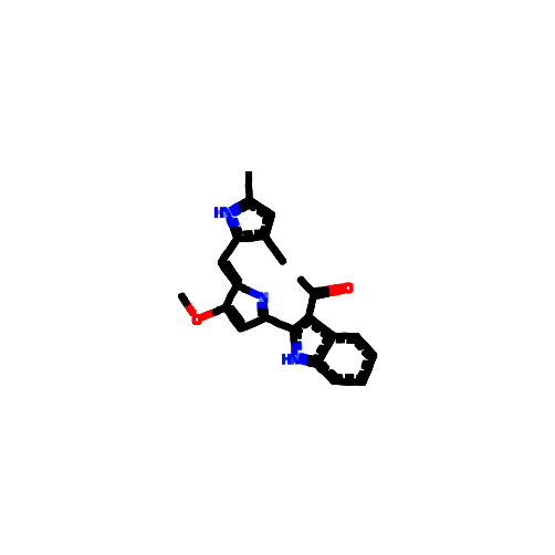 COC1=CC(c2[nH]c3ccccc3c2C(C)=O)=NC1=Cc1[nH]c(C)cc1C